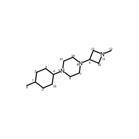 CC1CCC(N2CCN(C3CN(C)C3)CC2)CC1